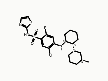 C[C@H]1CCCN([C@H]2CCCC[C@@H]2Nc2cc(F)c(S(=O)(=O)Nc3nccs3)cc2Cl)C1